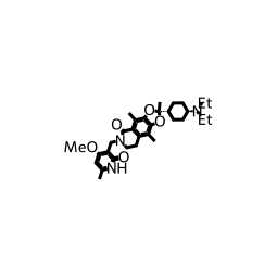 CCN(CC)[C@H]1CC[C@H](C2(C)Oc3c(C)c4c(c(C)c3O2)C(=O)N(Cc2c(OC)cc(C)[nH]c2=O)CC4)CC1